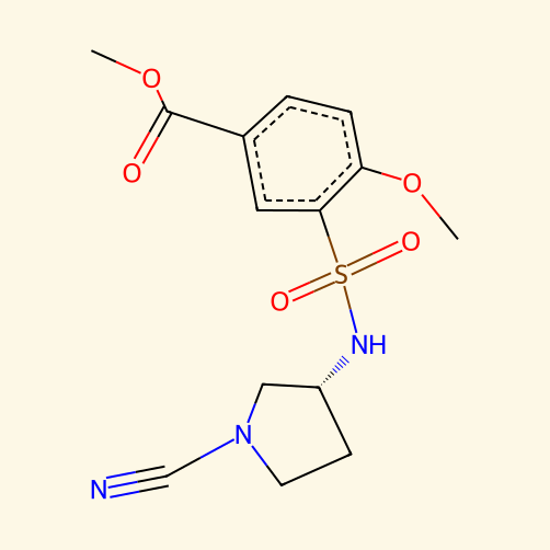 COC(=O)c1ccc(OC)c(S(=O)(=O)N[C@@H]2CCN(C#N)C2)c1